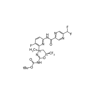 CC(C)(C)OC(=O)NC1=N[C@](C)(c2nc(NC(=O)c3cnc(C(F)F)cn3)ccc2F)C[C@@H](C(F)(F)F)O1